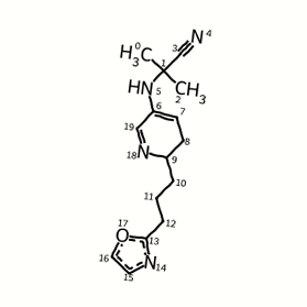 CC(C)(C#N)NC1=CCC(CCCc2ncco2)N=C1